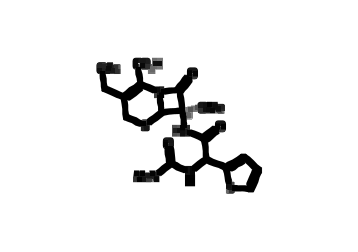 CNC(=O)NC(C(=O)N[C@]1(OC)C(=O)N2C(C(=O)O)=C(COC(C)=O)CSC21)c1cccs1